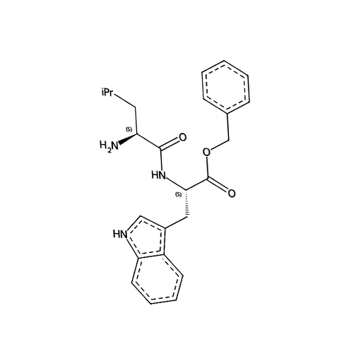 CC(C)C[C@H](N)C(=O)N[C@@H](Cc1c[nH]c2ccccc12)C(=O)OCc1ccccc1